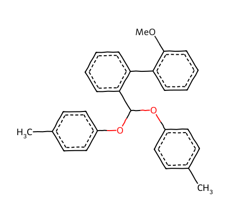 COc1ccccc1-c1ccccc1C(Oc1ccc(C)cc1)Oc1ccc(C)cc1